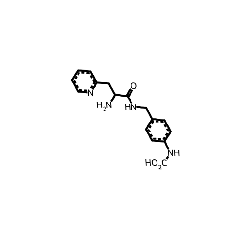 NC(Cc1ccccn1)C(=O)NCc1ccc(NC(=O)O)cc1